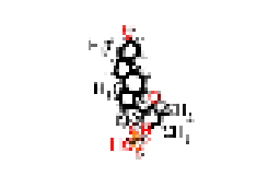 C=C(C(=O)[C@H](OC(C)=O)C1[C@@H](OC(C)=O)C[C@@]2(C)C3CCC4[C@H](C)C(=O)C=C[C@@]45C[C@@]35CC[C@]12C)[C@@H](C)COP(=O)(O)O